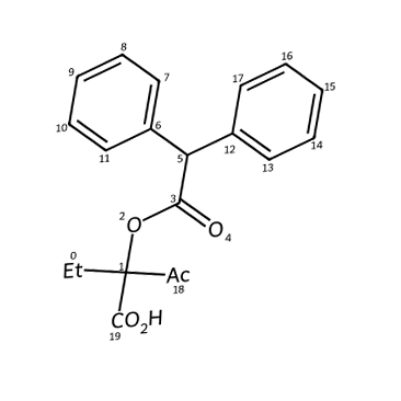 CCC(OC(=O)C(c1ccccc1)c1ccccc1)(C(C)=O)C(=O)O